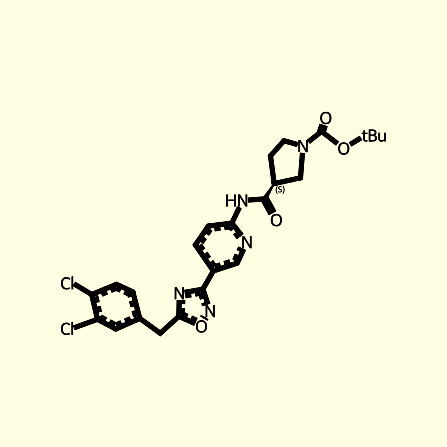 CC(C)(C)OC(=O)N1CC[C@H](C(=O)Nc2ccc(-c3noc(Cc4ccc(Cl)c(Cl)c4)n3)cn2)C1